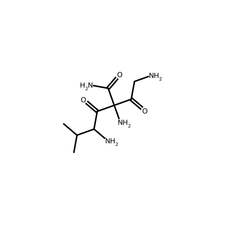 CC(C)C(N)C(=O)C(N)(C(N)=O)C(=O)CN